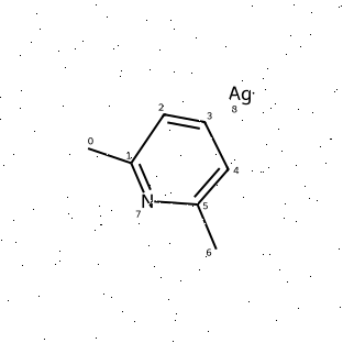 Cc1cccc(C)n1.[Ag]